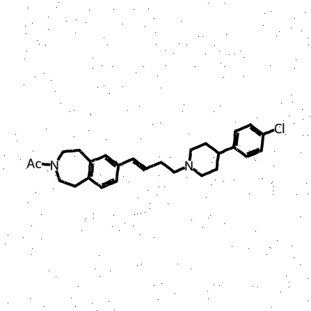 CC(=O)N1CCc2ccc(C=CCCN3CCC(c4ccc(Cl)cc4)CC3)cc2CC1